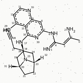 C/C(N)=C/C(=N)Nc1cc2nccc(O)c2c(N[C@@H]2C[C@H]3CC[C@@H](C2)N3CCC#N)n1